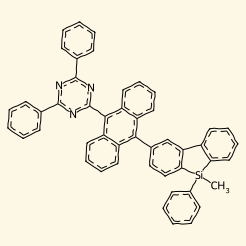 C[Si]1(c2ccccc2)c2ccccc2-c2cc(-c3c4ccccc4c(-c4nc(-c5ccccc5)nc(-c5ccccc5)n4)c4ccccc34)ccc21